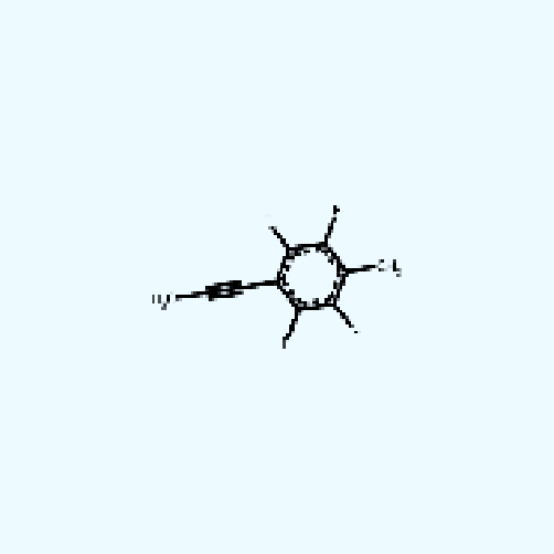 CC#Cc1c(F)c(F)c(C)c(F)c1F